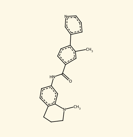 Cc1cc(C(=O)Nc2ccc3c(c2)N(C)CCC3)ccc1-c1cccnc1